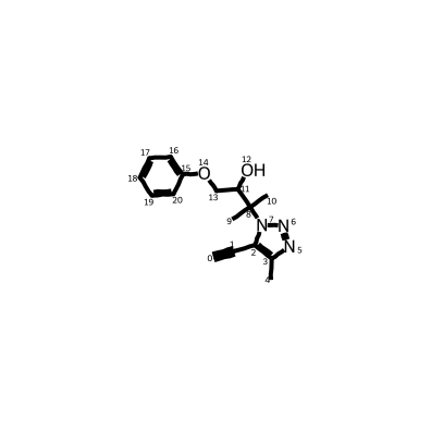 C#Cc1c(C)nnn1C(C)(C)C(O)COc1ccccc1